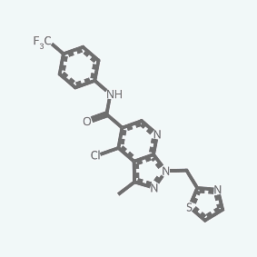 Cc1nn(Cc2nccs2)c2ncc(C(=O)Nc3ccc(C(F)(F)F)cc3)c(Cl)c12